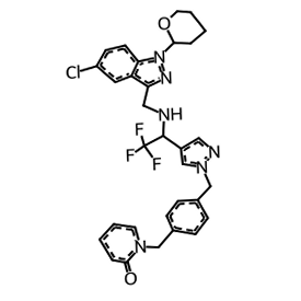 O=c1ccccn1Cc1ccc(Cn2cc(C(NCc3nn(C4CCCCO4)c4ccc(Cl)cc34)C(F)(F)F)cn2)cc1